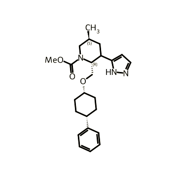 COC(=O)N1C[C@@H](C)CC(c2ccn[nH]2)[C@@H]1CO[C@H]1CC[C@@H](c2ccccc2)CC1